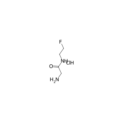 Cl.NCC(=O)NCCF